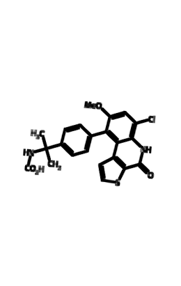 COc1cc(Cl)c2[nH]c(=O)c3sccc3c2c1-c1ccc(C(C)(C)NC(=O)O)cc1